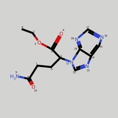 CCOC(=O)C(CCC(N)=O)n1cnc2cncnc21